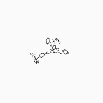 Cn1ccnc1-c1ccc(OCC(O)CNCC(Cc2ccccc2)Oc2ccc(OCc3ccccc3)c(C(N)=O)c2)cc1